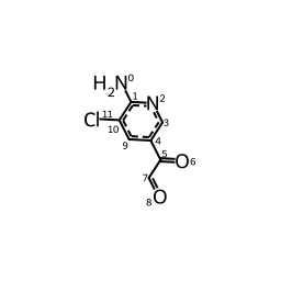 Nc1ncc(C(=O)C=O)cc1Cl